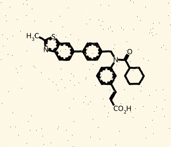 Cc1nc2ccc(-c3ccc(CN(C(=O)C4CCCCC4)c4cccc(C=CC(=O)O)c4)cc3)cc2s1